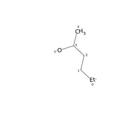 C[CH]CCC(C)[O]